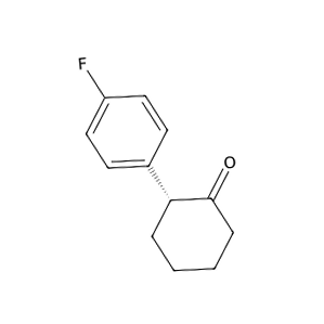 O=C1CCCC[C@@H]1c1ccc(F)cc1